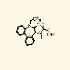 C[C@H](O)C(=O)N[C@@H]1C(=O)N(CC(F)(F)F)c2ccccc2-c2ccccc21